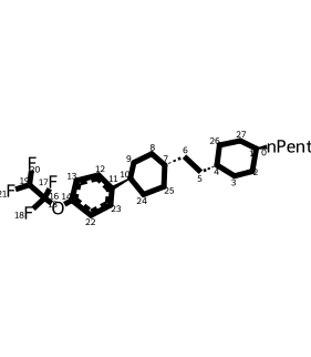 CCCCC[C@H]1CC[C@H](CC[C@H]2CC[C@H](c3ccc(OC(F)(F)C(F)F)cc3)CC2)CC1